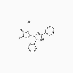 Br.C=c1nc(N2N=C(c3ccccc3)NN2c2ccccc2)sc1=C